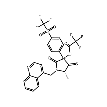 C[C@H]1C(=S)[N+](OC(=O)C(F)(F)F)(c2ccc(S(=O)(=O)C(F)(F)F)cc2)C(=O)N1Cc1ccnc2ccccc12